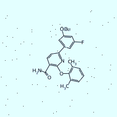 Cc1cccc(C)c1Oc1nc(-c2cc(F)cc(OCC(C)C)c2)ccc1C(N)=O